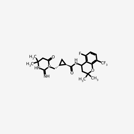 CC1(C)CC(=O)N(C[C@@H]2C[C@H]2C(=O)NC2CC(C)(C)Oc3c(C(F)(F)F)ccc(F)c32)C(=N)N1